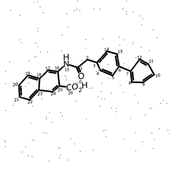 O=C(Cc1ccc(-c2ccccc2)cc1)Nc1cc2ccccc2cc1C(=O)O